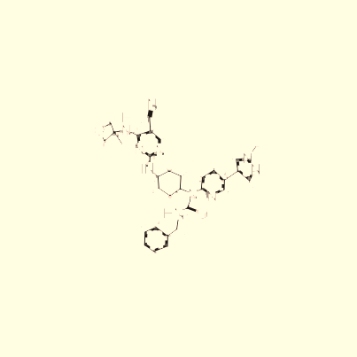 Cn1cc(-c2ccc(N(C(=O)NCc3ccccc3)C3CCC(Nc4ncc(C#N)c(NC5(C)COC5)n4)CC3)nc2)cn1